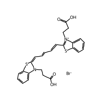 O=C(O)CCN1C(=CC=CC=Cc2sc3ccccc3[n+]2CCC(=O)O)Sc2ccccc21.[Br-]